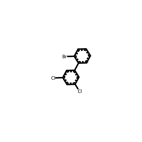 Clc1cc(Cl)cc(-c2[c]cccc2Br)c1